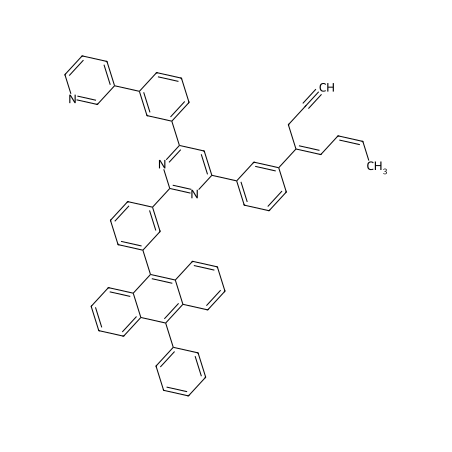 C#CC/C(=C\C=C/C)c1cccc(-c2cc(-c3cccc(-c4cccnc4)c3)nc(-c3cccc(-c4c5ccccc5c(-c5ccccc5)c5ccccc45)c3)n2)c1